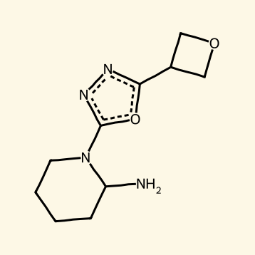 NC1CCCCN1c1nnc(C2COC2)o1